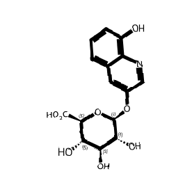 O=C(O)[C@H]1O[C@@H](Oc2cnc3c(O)cccc3c2)[C@H](O)[C@@H](O)[C@@H]1O